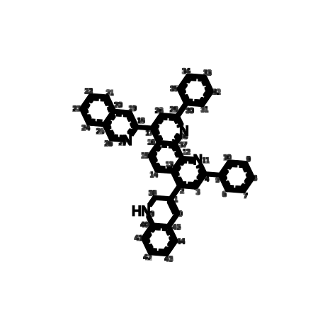 C1=C(c2cc(-c3ccccc3)nc3c2ccc2c(-c4cc5ccccc5cn4)cc(-c4ccccc4)nc23)CNc2ccccc21